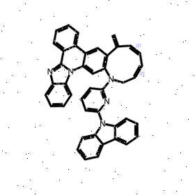 C=C1/C=C\C=C/CN(c2cccc(-n3c4ccccc4c4ccccc43)n2)c2cc3c(cc21)c1ccccc1c1nc2ccccc2n31